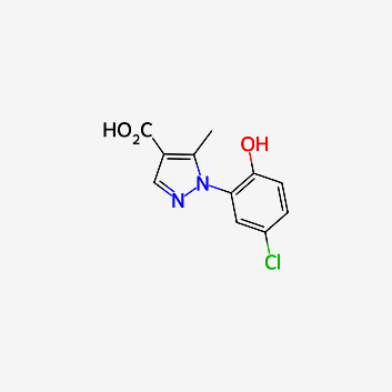 Cc1c(C(=O)O)cnn1-c1cc(Cl)ccc1O